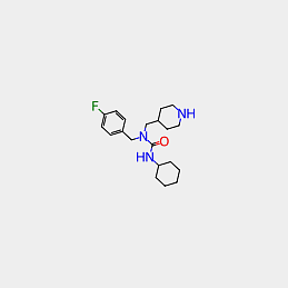 O=C(NC1CCCCC1)N(Cc1ccc(F)cc1)CC1CCNCC1